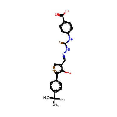 CC(C)(C)c1ccc(-c2scc(/C=N/NC(=S)Nc3ccc(C(=O)O)cc3)c2O)cc1